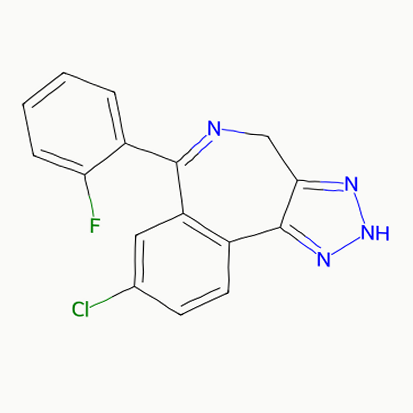 Fc1ccccc1C1=NCc2n[nH]nc2-c2ccc(Cl)cc21